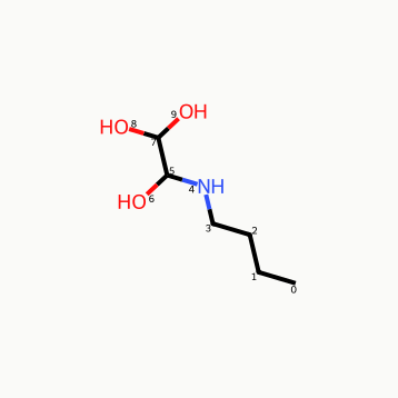 CCCCNC(O)C(O)O